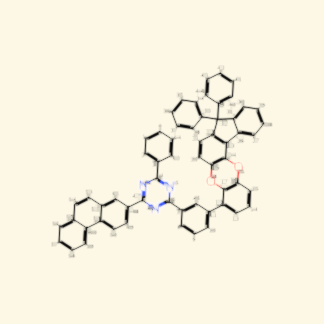 c1ccc(-c2nc(-c3cccc(-c4cccc5c4Oc4ccc6c(c4O5)-c4ccccc4C6(c4ccccc4)c4ccccc4)c3)nc(-c3ccc4c(ccc5ccccc54)c3)n2)cc1